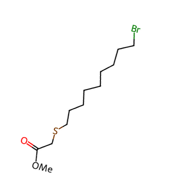 COC(=O)CSCCCCCCCCCBr